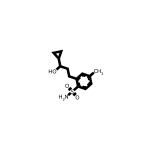 Cc1ccc(S(N)(=O)=O)c(CCC(O)C2CC2)c1